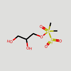 CS(C)(=O)(OCC(O)CO)[SH](=O)=O